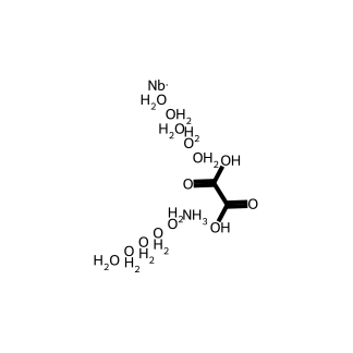 N.O.O.O.O.O.O.O.O.O.O.O=C(O)C(=O)O.[Nb]